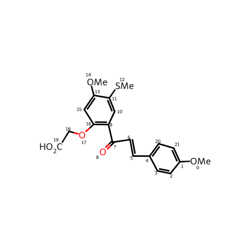 COc1ccc(C=CC(=O)c2cc(SC)c(OC)cc2OCC(=O)O)cc1